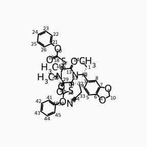 CC[C@H](c1ccc2c(c1)OCO2)N1C(=O)[C@](C)(SC(=O)Oc2ccccc2)N(C)C(=O)[C@]1(CCC#N)SC(=O)Oc1ccccc1